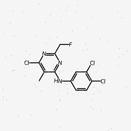 Cc1c(Cl)nc(CF)nc1Nc1ccc(Cl)c(Cl)c1